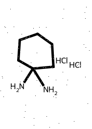 Cl.Cl.NC1(N)CCCCC1